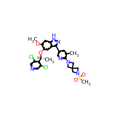 COc1cc2[nH]nc(-c3cnc(N4CC5(C4)CN(S(C)(=O)=O)C5)c(C)c3)c2cc1O[C@H](C)c1c(Cl)cncc1Cl